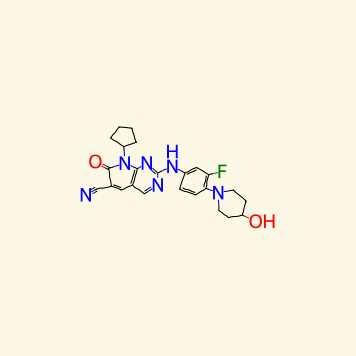 N#Cc1cc2cnc(Nc3ccc(N4CCC(O)CC4)c(F)c3)nc2n(C2CCCC2)c1=O